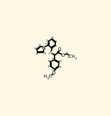 CCOC(=O)C(Sc1ccccc1-n1cccc1)c1ccc(OC)cc1